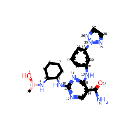 CB(O)N[C@H]1CCCC[C@H]1Nc1ncc(C(N)=O)c(Nc2cccc(-n3nccn3)c2)n1